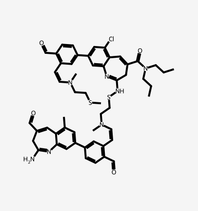 CCCN(CCC)C(=O)C1=Cc2c(Cl)cc(-c3ccc(C=O)c(/C=C\N(C)CCSC)c3)cc2N=C(NSCCN(C)/C=C\c2cc(-c3cc(C)c4c(c3)N=C(N)CC(C=O)=C4)ccc2C=O)C1